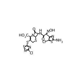 Nc1nc(C(=NO)C(=O)N[C@@H]2C(=O)N3C(C(=O)O)=C(Sc4nc(Cl)ns4)CSC23)c(Cl)s1